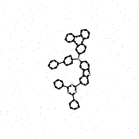 c1ccc(-c2ccc(N(c3ccc4sc5ccc(-c6nc(-c7ccccc7)nc(-c7ccccc7)n6)cc5c4c3)c3ccc4c5ccccc5c5ccccc5c4c3)cc2)cc1